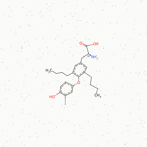 CCCCc1cc(C[C@H](N)C(=O)O)cc(CCCC)c1Oc1ccc(O)c(I)c1